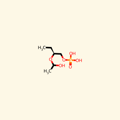 CC[C@@H](COP(=O)(O)O)OC(C)O